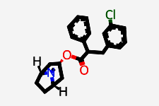 CN1[C@@H]2CC[C@H]1C[C@H](OC(=O)C(Cc1cccc(Cl)c1)c1ccccc1)C2